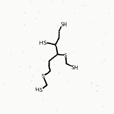 SCCC(S)C(CCSCS)SCS